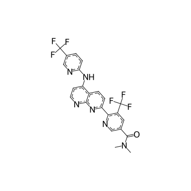 CN(C)C(=O)c1cnc(-c2ccc3c(Nc4ccc(C(F)(F)F)cn4)ccnc3n2)c(C(F)(F)F)c1